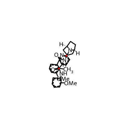 COc1ccccc1NC(=O)c1ccc(N2[C@@H]3CC[C@H]2C[C@@H](NC(=O)c2cccc(OC)c2C)C3)nc1